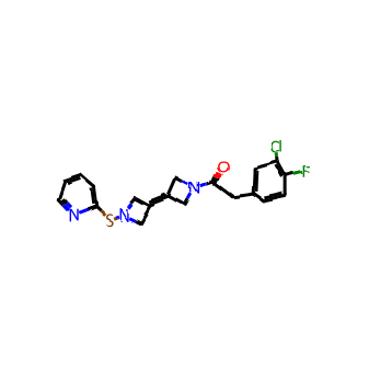 O=C(Cc1ccc(F)c(Cl)c1)N1CC(=C2CN(Sc3ccccn3)C2)C1